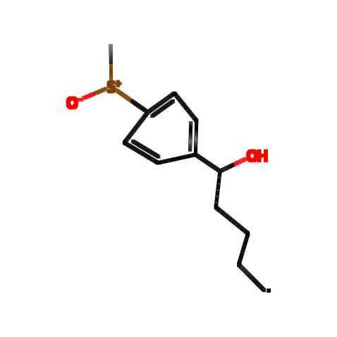 [CH2]CCCC(O)c1ccc([S+](C)[O-])cc1